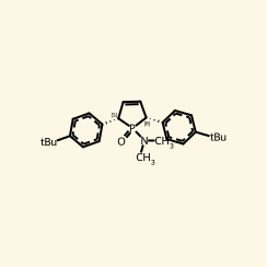 CN(C)P1(=O)[C@@H](c2ccc(C(C)(C)C)cc2)C=C[C@H]1c1ccc(C(C)(C)C)cc1